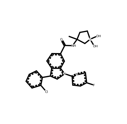 CC1(NC(=O)c2ccc3c(-c4ccccc4Cl)cn(-c4ccc(F)cn4)c3c2)CCS(O)(O)C1